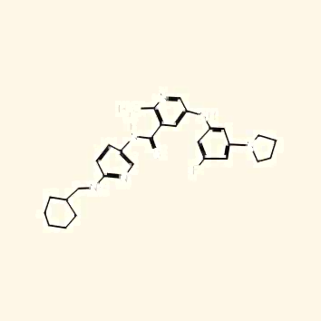 Cc1ncc(Nc2cc(F)cc(N3CCCC3)c2)cc1C(=O)Nc1ccc(NCC2CCCCC2)nc1